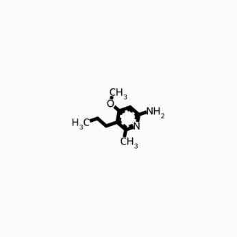 CCCc1c(OC)cc(N)nc1C